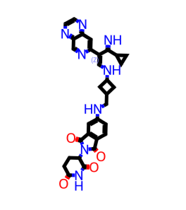 N=C(/C(=C\NC1CC(CNc2ccc3c(c2)C(=O)N(C2CCC(=O)NC2=O)C3=O)C1)c1cc2nccnc2cn1)C1CC1